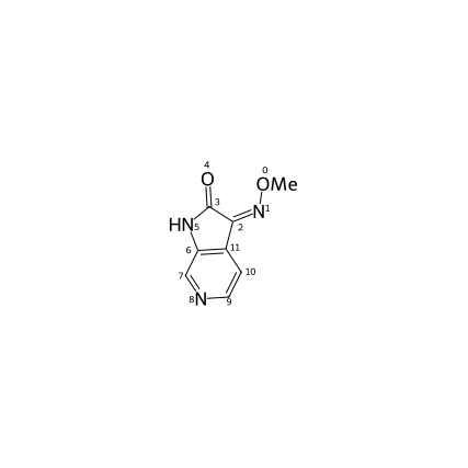 CO/N=C1\C(=O)Nc2cnccc21